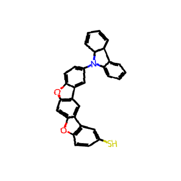 Sc1ccc2oc3cc4oc5ccc(N6c7ccccc7C7C=CC=CC76)cc5c4cc3c2c1